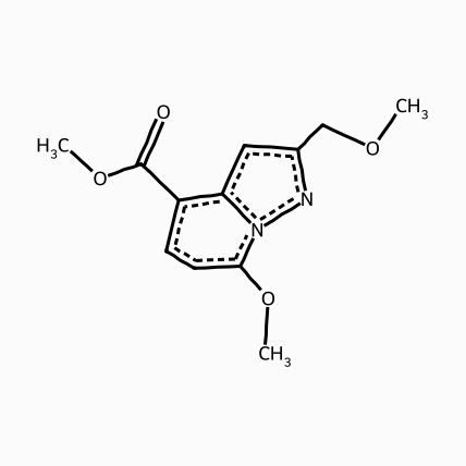 COCc1cc2c(C(=O)OC)ccc(OC)n2n1